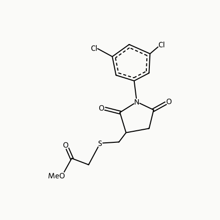 COC(=O)CSCC1CC(=O)N(c2cc(Cl)cc(Cl)c2)C1=O